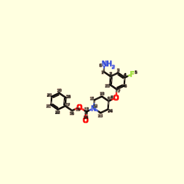 NCc1cc(F)cc(OC2CCN(C(=O)OCc3ccccc3)CC2)c1